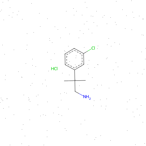 CC(C)(CN)c1cccc(Cl)c1.Cl